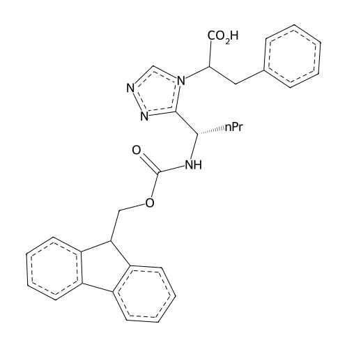 CCC[C@H](NC(=O)OCC1c2ccccc2-c2ccccc21)c1nncn1C(Cc1ccccc1)C(=O)O